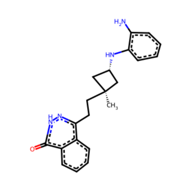 C[C@]1(CCc2n[nH]c(=O)c3ccccc23)C[C@H](Nc2ccccc2N)C1